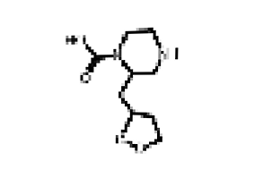 O=C(O)N1CCNCC1CC1CCOO1